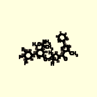 Cc1nc(-c2ncccn2)sc1C(=O)N1C[C@@H]2C(Oc3cc(C(C)(C)N)cc(-c4cc(F)c(F)c(F)c4)n3)[C@@H]2C1